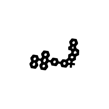 CC1(C)c2ccc(-c3ccc(-c4c5ccccc5c(-c5cccc6ccccc56)c5ccccc45)cc3)cc2-c2cc3c(ccc4c5ccccc5oc34)cc21